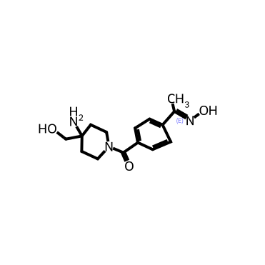 C/C(=N\O)c1ccc(C(=O)N2CCC(N)(CO)CC2)cc1